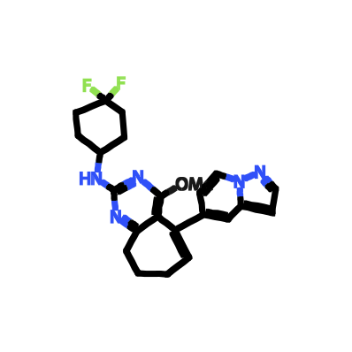 COc1nc(NC2CCC(F)(F)CC2)nc2c1C(c1ccn3nccc3c1)=CCCC2